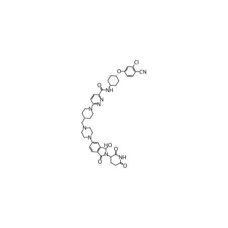 N#Cc1ccc(O[C@H]2CC[C@H](NC(=O)c3ccc(N4CCC(CN5CCN(c6ccc7c(c6)C(O)N(C6CCC(=O)NC6=O)C7=O)CC5)CC4)nn3)CC2)cc1Cl